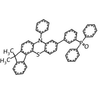 CC1(C)c2ccccc2-c2c1ccc1c2Sc2ccc(-c3cccc(P(=O)(c4ccccc4)c4ccccc4)c3)cc2N1c1ccccc1